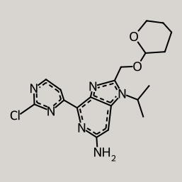 CC(C)n1c(COC2CCCCO2)nc2c(-c3ccnc(Cl)n3)nc(N)cc21